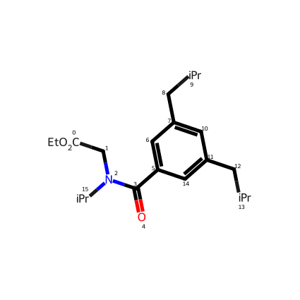 CCOC(=O)CN(C(=O)c1cc(CC(C)C)cc(CC(C)C)c1)C(C)C